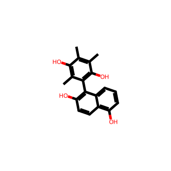 Cc1c(C)c(O)c(-c2c(O)ccc3c(O)cccc23)c(C)c1O